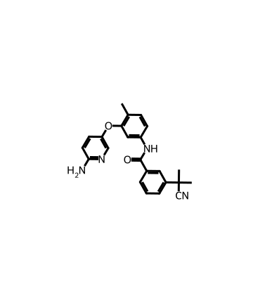 Cc1ccc(NC(=O)c2cccc(C(C)(C)C#N)c2)cc1Oc1ccc(N)nc1